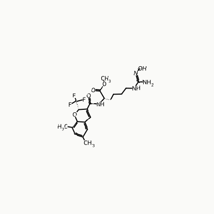 COC(=O)[C@H](CCCCNC(N)=NO)NC(=O)C1=Cc2cc(C)cc(C)c2O[C@@H]1C(F)(F)F